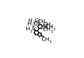 CCC1=Cc2c(ccc(C)c2-c2cc([Si](C)(C)C)cc([Si](C)(C)C)c2)[CH]1